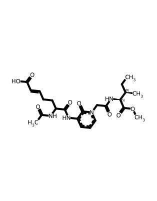 CC[C@@H](C)[C@H](NC(=O)Cn1cccc(NC(=O)C(CCC=CC(=O)O)NC(C)=O)c1=O)C(=O)OC